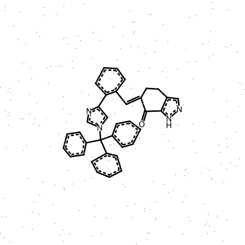 O=C1/C(=C/c2ccccc2-c2cn(C(c3ccccc3)(c3ccccc3)c3ccccc3)cn2)CCc2cn[nH]c21